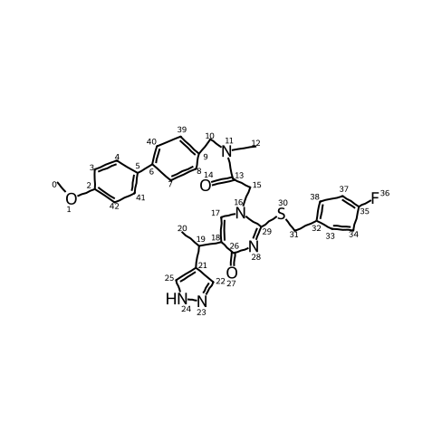 COc1ccc(-c2ccc(CN(C)C(=O)Cn3cc(C(C)c4cn[nH]c4)c(=O)nc3SCc3ccc(F)cc3)cc2)cc1